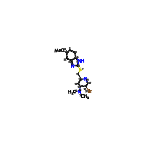 COc1ccc2[nH]c(SCc3cc(N(C)C)c(Br)cn3)nc2c1